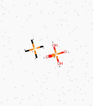 C[P+](C)(C)C.O=P([O-])(O)O